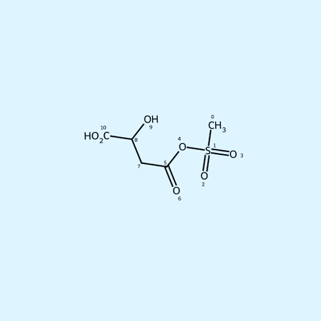 CS(=O)(=O)OC(=O)CC(O)C(=O)O